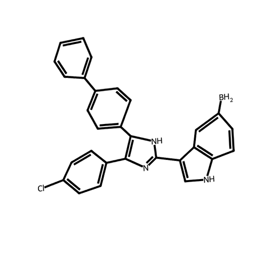 Bc1ccc2[nH]cc(-c3nc(-c4ccc(Cl)cc4)c(-c4ccc(-c5ccccc5)cc4)[nH]3)c2c1